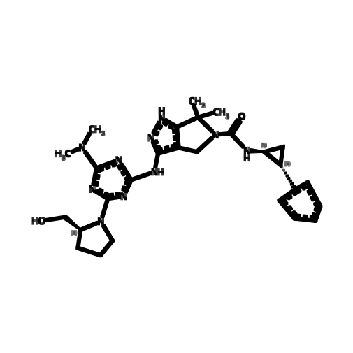 CN(C)c1nc(Nc2n[nH]c3c2CN(C(=O)N[C@H]2C[C@@H]2c2ccccc2)C3(C)C)nc(N2CCC[C@H]2CO)n1